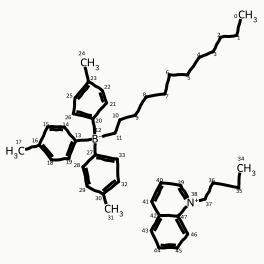 CCCCCCCCCCCC[B-](c1ccc(C)cc1)(c1ccc(C)cc1)c1ccc(C)cc1.CCCC[n+]1cccc2ccccc21